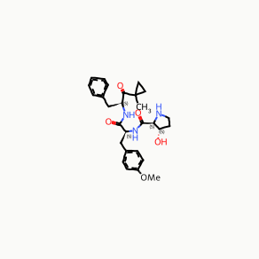 COc1ccc(C[C@H](NC(=O)[C@H]2NCC[C@@H]2O)C(=O)N[C@@H](Cc2ccccc2)C(=O)C2(C)CC2)cc1